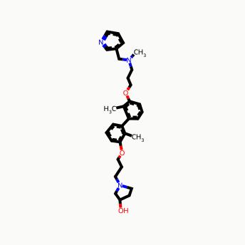 Cc1c(OCCCN(C)Cc2cccnc2)cccc1-c1cccc(OCCCN2CCC(O)C2)c1C